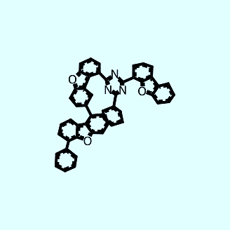 c1ccc(-c2nc(-c3cccc4c3oc3ccccc34)nc(-c3cccc4oc5ccc(-c6cccc7oc8c(-c9ccccc9)cccc8c67)cc5c34)n2)cc1